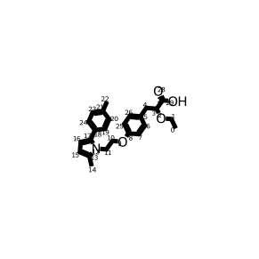 CCOC(Cc1ccc(OCCn2c(C)ccc2-c2ccc(C)cc2)cc1)C(=O)O